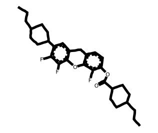 CCCC1CCC(C(=O)Oc2ccc3c(c2F)Oc2c(cc(C4CCC(CCC)CC4)c(F)c2F)C3)CC1